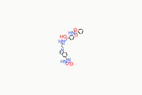 CC(C)(CCn1ccc2cc(-c3nc(=O)o[nH]3)ccc21)NCC(O)c1cccc(NS(=O)(=O)c2ccccc2)c1